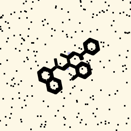 C=C(/C=C(C)\C(=C/N(C)c1cccc2ccccc12)c1ccccc1C)c1ccccc1